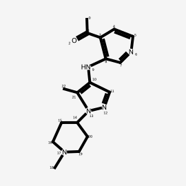 CC(=O)c1ccncc1Nc1cnn(C2CCN(C)CC2)c1C